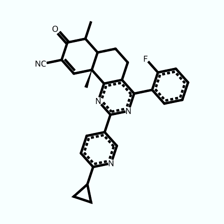 CC1C(=O)C(C#N)=C[C@@]2(C)c3nc(-c4ccc(C5CC5)nc4)nc(-c4ccccc4F)c3CCC12